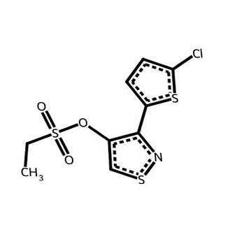 CCS(=O)(=O)Oc1csnc1-c1ccc(Cl)s1